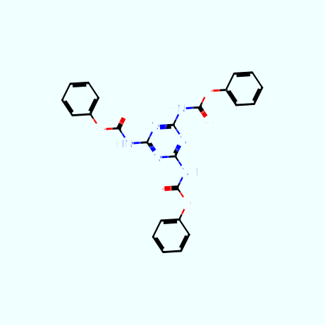 O=C(Nc1nc(NC(=O)Oc2ccccc2)nc(NC(=O)Oc2ccccc2)n1)Oc1ccccc1